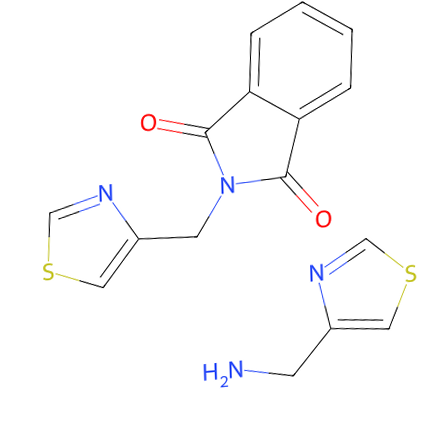 NCc1cscn1.O=C1c2ccccc2C(=O)N1Cc1cscn1